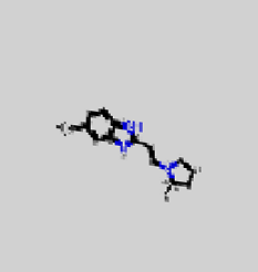 Bc1ccc2[nH]c(CCN3CCC[C@H]3C)nc2c1